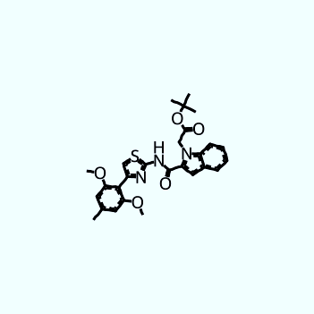 COc1cc(C)cc(OC)c1-c1csc(NC(=O)c2cc3ccccc3n2CC(=O)OC(C)(C)C)n1